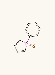 S=P1(c2ccccc2)C=CC=C1